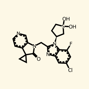 O=C1N(Cc2nc3cc(Cl)cc(F)c3n2[C@H]2CCS(O)(O)C2)c2cnccc2C12CC2